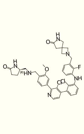 COc1cc(-c2nccc(-c3cccc(Nc4cccc(CN5CC6(CNC(=O)C6)C5)c4F)c3Cl)c2Cl)ccc1CNC[C@H]1CCC(=O)N1